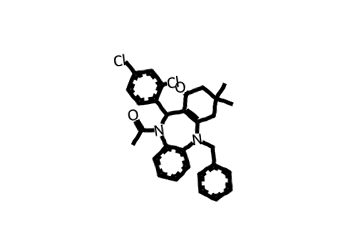 CC(=O)N1c2ccccc2N(Cc2ccccc2)C2=C(C(=O)CC(C)(C)C2)C1c1ccc(Cl)cc1Cl